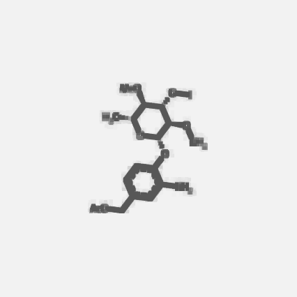 CO[C@H]1[C@H](OI)[C@@H](ON)[C@H](Oc2ccc(COC(C)=O)cc2N)O[C@@H]1C